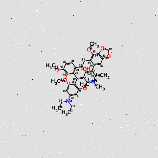 C=c1ccc2c(c1)Oc1cc(N(CC)CC)ccc1C=2c1c([C@H](O)Cc2c(CCN(C)C)cc3c(c2OC)OCO3)ccc(OC)c1OC